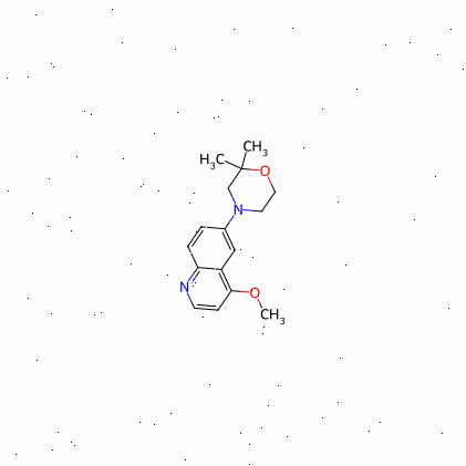 COc1ccnc2ccc(N3CCOC(C)(C)C3)cc12